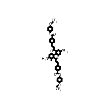 Cc1c(N)ccc(-c2ccc(N)cc2C(=O)C=Cc2ccc(C(=O)Oc3ccc(OCC(F)(F)F)cc3)cc2)c1C(=O)C=Cc1ccc(C(=O)Oc2ccc(OCC(F)(F)F)cc2)cc1